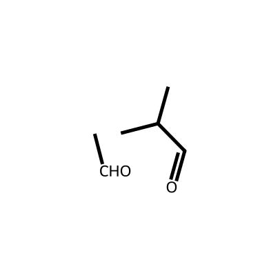 CC(C)C=O.CC=O